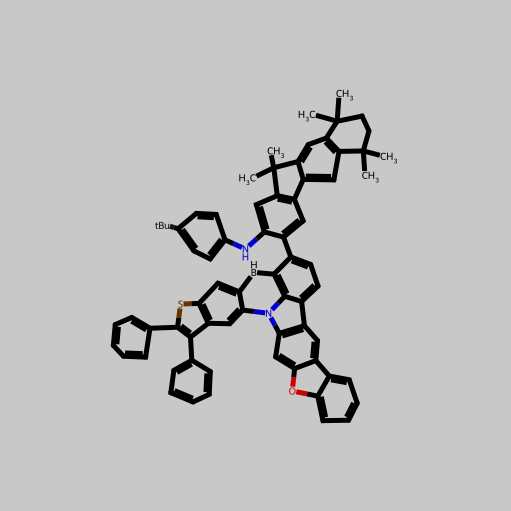 CC(C)(C)c1ccc(Nc2cc3c(cc2-c2ccc4c5cc6c(cc5n5c4c2Bc2cc4sc(-c7ccccc7)c(-c7ccccc7)c4cc2-5)oc2ccccc26)-c2cc4c(cc2C3(C)C)C(C)(C)CCC4(C)C)cc1